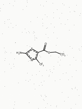 Nc1nc(C(F)(F)F)c(C(=O)OCC(Cl)(Cl)Cl)s1